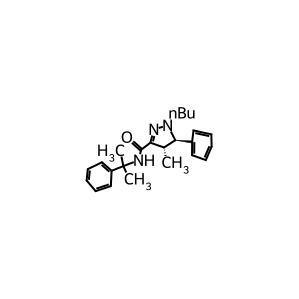 CCCCN1N=C(C(=O)NC(C)(C)c2ccccc2)[C@@H](C)[C@@H]1c1ccccc1